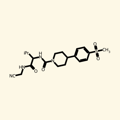 CC(C)C(NC(=O)N1CCC(c2ccc(S(C)(=O)=O)cc2)CC1)C(=O)NCC#N